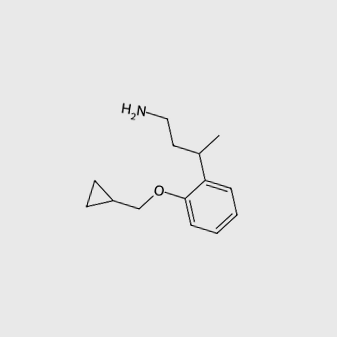 CC(CCN)c1ccccc1OCC1CC1